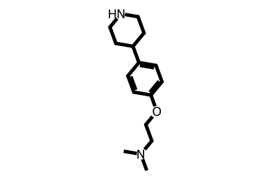 CN(C)CCOc1ccc(C2CCNCC2)cc1